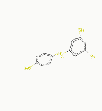 Sc1cc(S)cc(S)c1.Sc1ccc(S)cc1